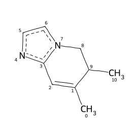 CC1=Cc2nccn2CC1C